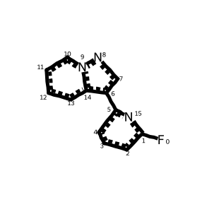 Fc1cccc(-c2cnn3ccccc23)n1